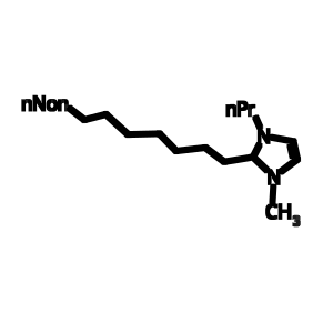 CCCCCCCCCCCCCCCCC1N(C)C=CN1CCC